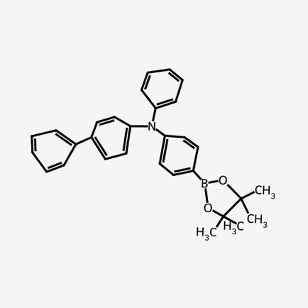 CC1(C)OB(c2ccc(N(c3ccccc3)c3ccc(-c4ccccc4)cc3)cc2)OC1(C)C